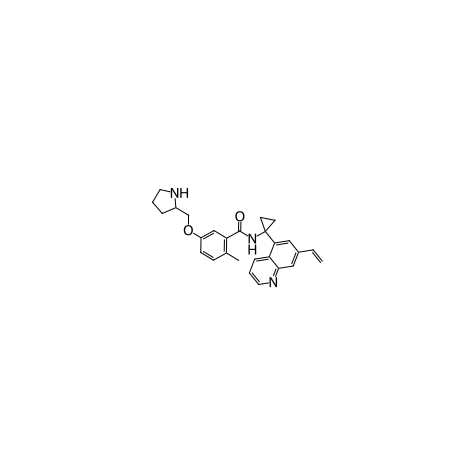 C=Cc1cc(C2(NC(=O)c3cc(OCC4CCCN4)ccc3C)CC2)c2cccnc2c1